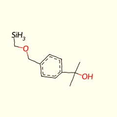 CC(C)(O)c1ccc(COC[SiH3])cc1